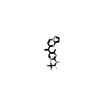 C=C(c1ccn2nccc2n1)c1cnc(N[C@H](C)C(F)(F)F)nc1C